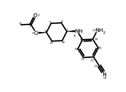 CC(=O)O[C@H]1CC[C@@H](Nc2ccc(C#N)cc2N)CC1